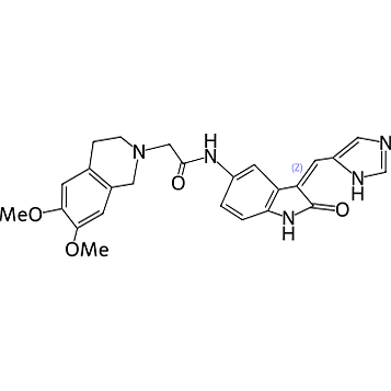 COc1cc2c(cc1OC)CN(CC(=O)Nc1ccc3c(c1)/C(=C/c1cnc[nH]1)C(=O)N3)CC2